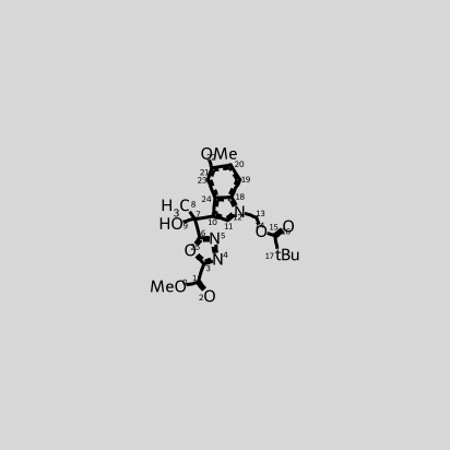 COC(=O)c1nnc(C(C)(O)c2cn(COC(=O)C(C)(C)C)c3ccc(OC)cc23)o1